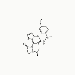 CCc1ccc([C@H](C)Nc2nc(N3C(=O)OC[C@@H]3C(C)C)c3sccc3n2)cc1